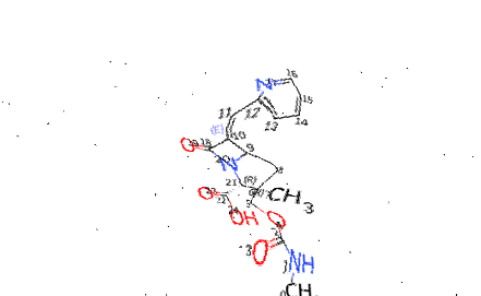 CNC(=O)OC[C@]1(C)CC2/C(=C\c3ccccn3)C(=O)N2[C@H]1C(=O)O